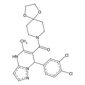 CC1=C(C(=O)N2CCC3(CC2)OCCO3)C(c2ccc(Cl)c(Cl)c2)n2nccc2N1